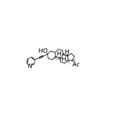 CC(=O)[C@H]1CC[C@H]2[C@@H]3CCC4CC(O)(C#Cc5cccnc5)CC[C@]4(C)[C@H]3CC[C@]12C